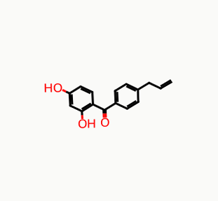 C=CCc1ccc(C(=O)c2ccc(O)cc2O)cc1